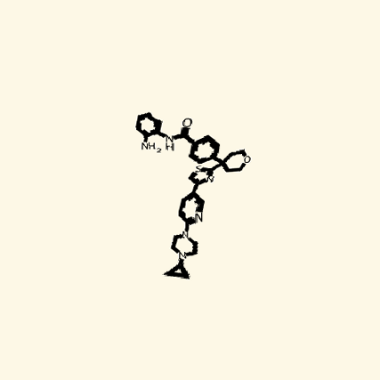 Nc1ccccc1NC(=O)c1ccc(C2(c3nc(-c4ccc(N5CCN(C6CC6)CC5)nc4)cs3)CCOCC2)cc1